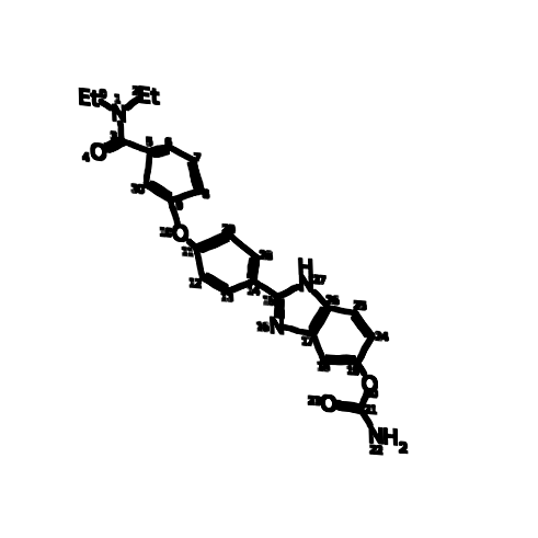 CCN(CC)C(=O)c1cccc(Oc2ccc(-c3nc4cc(OC(N)=O)ccc4[nH]3)cc2)c1